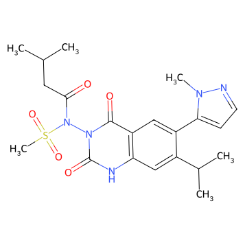 CC(C)CC(=O)N(n1c(=O)[nH]c2cc(C(C)C)c(-c3ccnn3C)cc2c1=O)S(C)(=O)=O